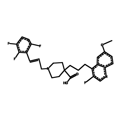 COc1ccc2ncc(F)c(CCCC3(C(=O)O)CCN(CC=Cc4c(F)ccc(F)c4F)CC3)c2c1